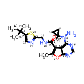 Cc1oc2ncnc(N(N)C3(C)CC3)c2c1C(=O)NCc1ncc(C(C)(C)C)s1